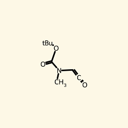 CN(C=C=O)C(=O)OC(C)(C)C